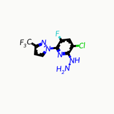 NNc1nc(-n2ccc(C(F)(F)F)n2)c(F)cc1Cl